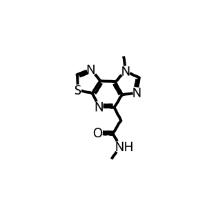 CNC(=O)Cc1nc2scnc2c2c1ncn2C